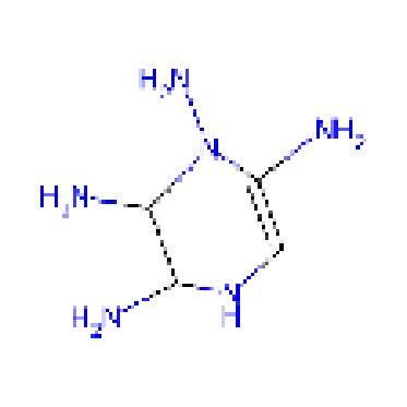 NC1=CNC(N)C(N)N1N